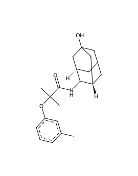 Cc1cccc(OC(C)(C)C(=O)NC2[C@@H]3CC4C[C@H]2CC(O)(C4)C3)c1